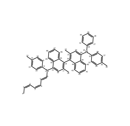 C\C=C/C=C\C=C\N(c1ccc(C)cc1)c1cc(C)c(-c2c(C)cc(N(c3ccccc3)c3ccc(C)cc3)c3ccccc23)c2ccccc12